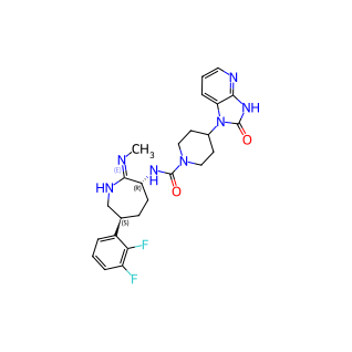 C/N=C1/NC[C@H](c2cccc(F)c2F)CC[C@H]1NC(=O)N1CCC(n2c(=O)[nH]c3ncccc32)CC1